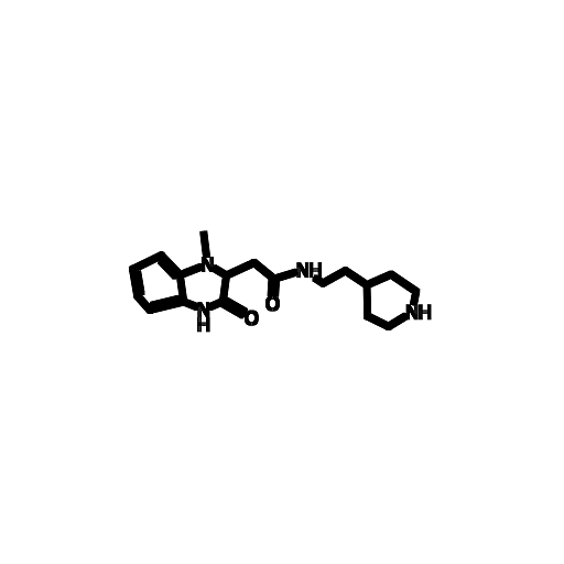 CN1c2ccccc2NC(=O)C1CC(=O)NCCC1CCNCC1